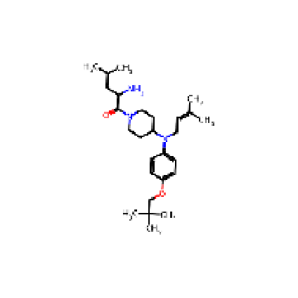 CC(C)=CCN(c1ccc(OCC(C)(C)C)cc1)C1CCN(C(=O)C(N)CC(C)C)CC1